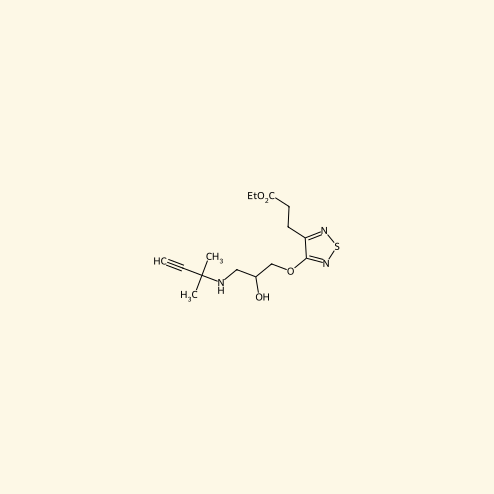 C#CC(C)(C)NCC(O)COc1nsnc1CCC(=O)OCC